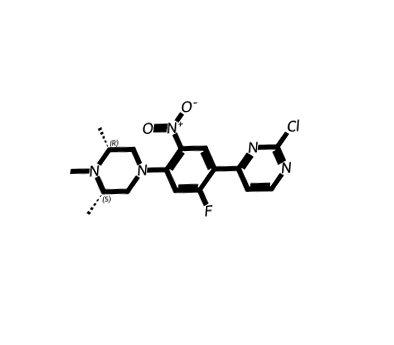 C[C@@H]1CN(c2cc(F)c(-c3ccnc(Cl)n3)cc2[N+](=O)[O-])C[C@H](C)N1C